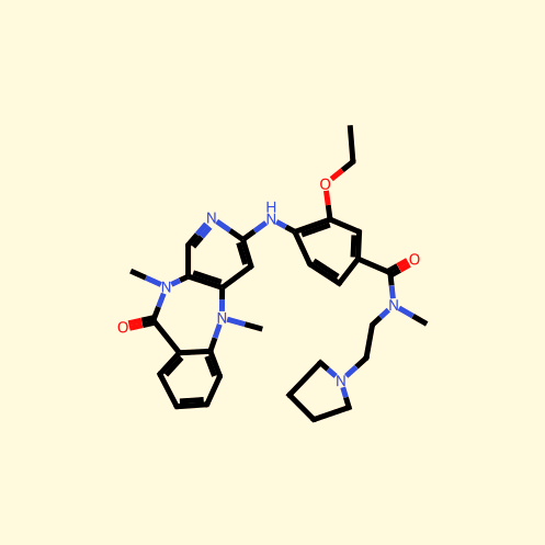 CCOc1cc(C(=O)N(C)CCN2CCCC2)ccc1Nc1cc2c(cn1)N(C)C(=O)c1ccccc1N2C